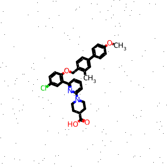 COc1ccc(-c2ccc(COc3ccc(Cl)cc3-c3cccc(N4CCC(C(=O)O)CC4)n3)c(C)c2)cc1